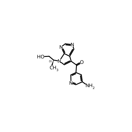 C[C@@H](CO)n1cc(C(=O)c2cncc(N)c2)c2cncnc21